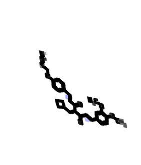 COc1ccc(/C=C/C(=O)C(CC2CCC2)C(=O)/C=C/c2ccc(OCN=[N+]=[N-])cc2)cc1OC